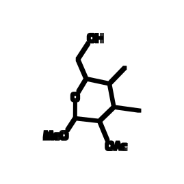 COC1OC(CO)C(C)C(C)C1OC(C)=O